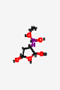 CC(C)O[PH](=O)C1CC(=O)OC1=O